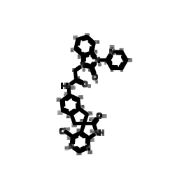 O=C(Cn1c(=O)n(-c2ccccn2)c2ccccc21)Nc1ccc2c(c1)CC1(C2)C(=O)Nc2ncnc(Cl)c21